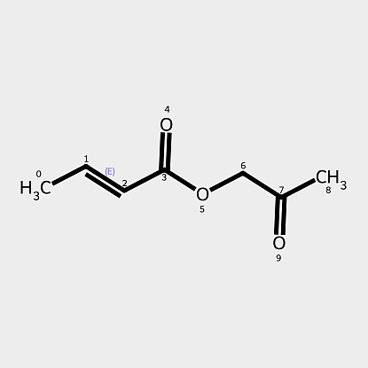 C/C=C/C(=O)OCC(C)=O